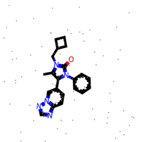 Cc1c(-c2ccc3ncnn3c2)n(-c2ccccc2)c(=O)n1CC1CCC1